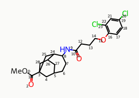 COC(=O)C12CC3CCC(NC(=O)CCCOc4ccc(Cl)cc4Cl)C(C1)C(C3)C2